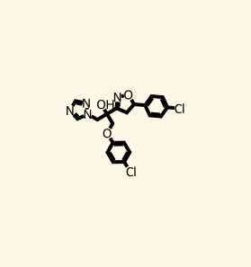 OC(COc1ccc(Cl)cc1)(Cn1cncn1)C1=NOC(c2ccc(Cl)cc2)C1